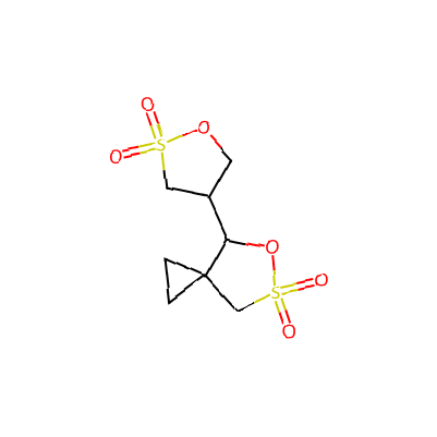 O=S1(=O)CC(C2OS(=O)(=O)CC23CC3)CO1